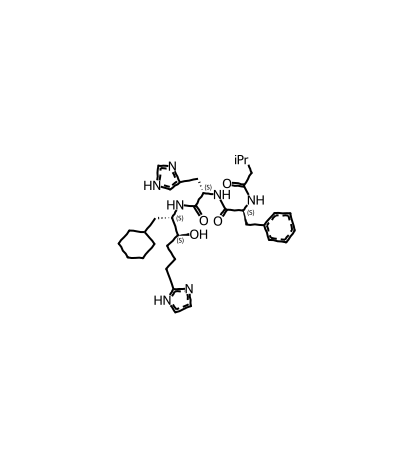 CC(C)CC(=O)N[C@@H](Cc1ccccc1)C(=O)N[C@@H](Cc1c[nH]cn1)C(=O)N[C@@H](CC1CCCCC1)[C@@H](O)CCCc1ncc[nH]1